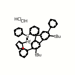 CC(C)(C)c1cc2c(cc1-c1ccccc1)Cc1c-2cc(C(C)(C)C)c(-c2ccccc2)[c]1[Hf]([C]1=CC=CC1)=[Si](c1ccccc1)c1ccccc1.Cl.Cl